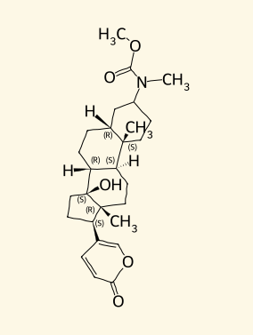 COC(=O)N(C)C1CC[C@@]2(C)[C@H](CC[C@@H]3[C@@H]2CC[C@]2(C)[C@@H](c4ccc(=O)oc4)CC[C@]32O)C1